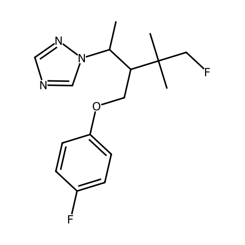 CC(C(COc1ccc(F)cc1)C(C)(C)CF)n1cncn1